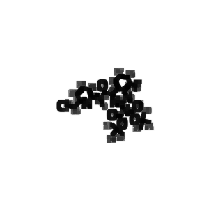 CN(C(=O)c1nc(N(C(=O)OC(C)(C)C)C(=O)OC(C)(C)C)nc2c(F)cccc12)c1cccc(CCl)n1